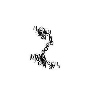 Cc1ccc(NC(=O)c2ccc(CN3CCN(C(=O)CCOCCOCCOCCC(=O)N[C@H](C(=O)N4C[C@H](O)C[C@H]4C(=O)NCc4ccc(-c5scnc5C)cc4)C(C)(C)C)CC3)cc2)cc1Nc1nc(-c2cccnc2)cs1